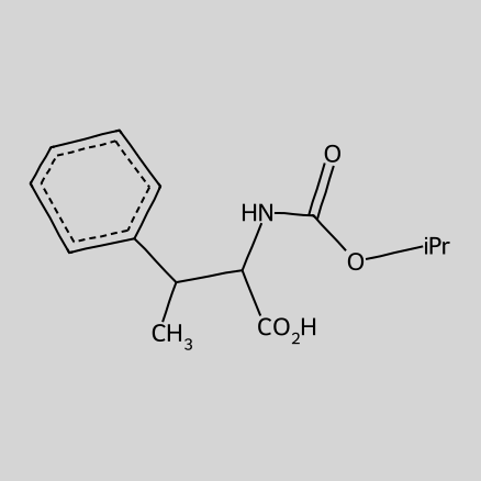 CC(C)OC(=O)NC(C(=O)O)C(C)c1ccccc1